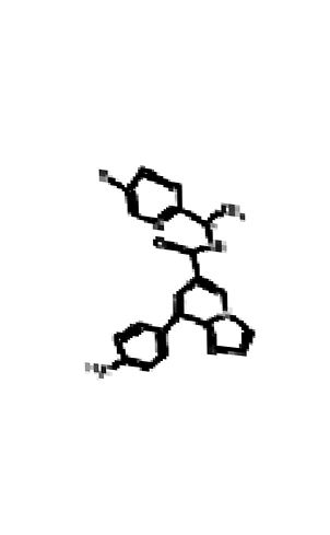 Cc1ccc(-c2cc(C(=O)N[C@H](C)c3ccc(F)cn3)cn3ccnc23)cc1